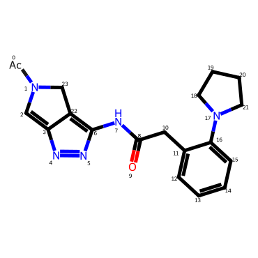 CC(=O)N1C=C2N=NC(NC(=O)Cc3ccccc3N3CCCC3)=C2C1